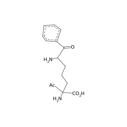 CC(=O)C(N)(CCCC(N)C(=O)c1ccccc1)C(=O)O